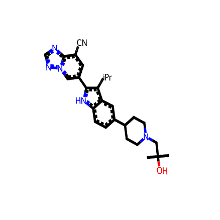 CC(C)c1c(-c2cc(C#N)c3ncnn3c2)[nH]c2ccc(C3CCN(CC(C)(C)O)CC3)cc12